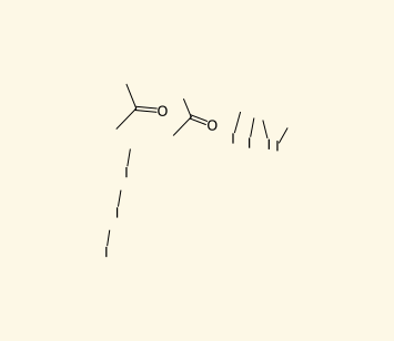 CC(C)=O.CC(C)=O.CI.CI.CI.CI.CI.CI.CI